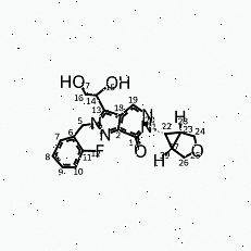 O=c1c2nn(Cc3ccccc3F)c(C(O)CO)c2cnn1[C@@H]1[C@@H]2COC[C@@H]21